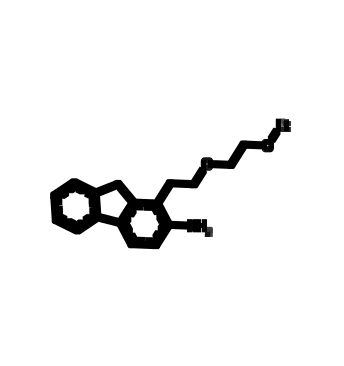 CCOCCOCCc1c(N)ccc2c1Cc1ccccc1-2